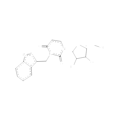 O=c1ccn([C@@H]2O[C@H](CO)C(O)C2O)c(=O)n1Cc1n[nH]c2ccccc12